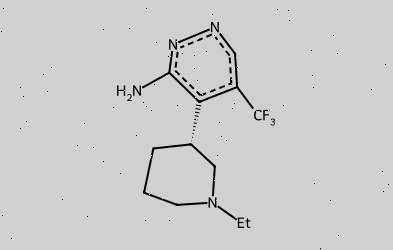 CCN1CCC[C@H](c2c(C(F)(F)F)cnnc2N)C1